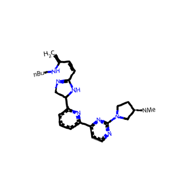 C=C(/C=C\C1=NCC(c2cccc(-c3ccnc(N4CC[C@@H](NC)C4)n3)n2)N1)NCCCC